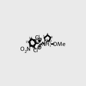 COC[C@H]1CCCN1NS(=O)(=O)c1c(Cl)ccc([N+](=O)[O-])c1Cl